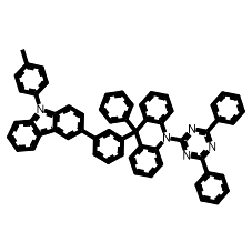 Cc1ccc(-n2c3ccccc3c3cc(-c4cccc(C5(c6ccccc6)c6ccccc6N(c6nc(-c7ccccc7)nc(-c7ccccc7)n6)c6ccccc65)c4)ccc32)cc1